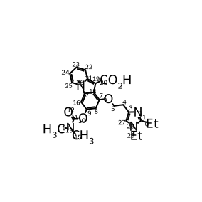 CCc1nc(CCOc2cc(OC(=O)N(C)C)cc3c2c(C(=O)O)c2ccccn23)cn1CC